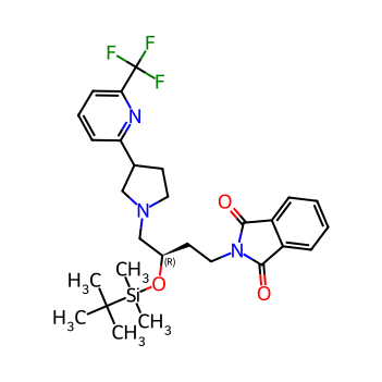 CC(C)(C)[Si](C)(C)O[C@H](CCN1C(=O)c2ccccc2C1=O)CN1CCC(c2cccc(C(F)(F)F)n2)C1